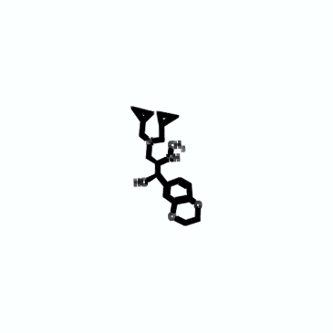 CN[C@H](CN(CC1CC1)CC1CC1)[C@H](O)c1ccc2c(c1)OCCO2